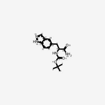 CC(C)(C)OC(=O)NC(Cc1ccc2[nH]ncc2c1)C(N)=O